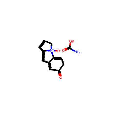 NC(=O)O.O=C1C=C2C=C3C=CC[N+]3([O-])C2=CC1